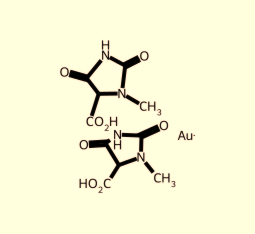 CN1C(=O)NC(=O)C1C(=O)O.CN1C(=O)NC(=O)C1C(=O)O.[Au]